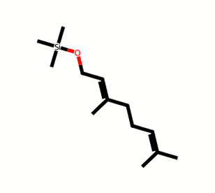 CC(C)=CCC/C(C)=C/CO[Si](C)(C)C